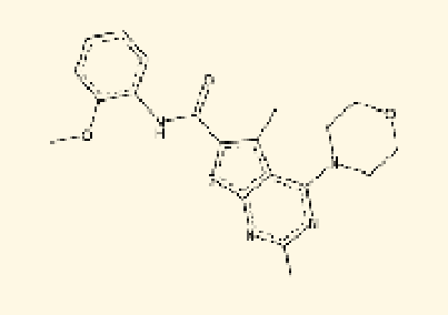 COc1ccccc1NC(=O)c1sc2nc(C)nc(N3CCOCC3)c2c1C